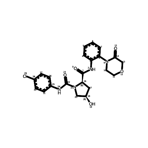 O=C(Nc1ccccc1N1CCOCC1=O)[C@H]1C[C@@H](O)CN1C(=O)Nc1ccc(Cl)cc1